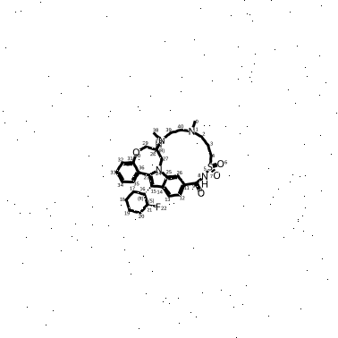 CN1CCCS(=O)(=O)NC(=O)c2ccc3c([C@H]4CCCC[C@@H]4F)c4n(c3c2)C[C@H](COc2ccccc2-4)N(C)CC1